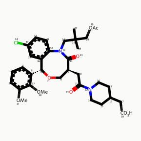 COc1cccc([C@H]2OC[C@H](CC(=O)N3CCC(CC(=O)O)CC3)C(=O)N(CC(C)(C)COC(C)=O)c3ccc(Cl)cc32)c1OC